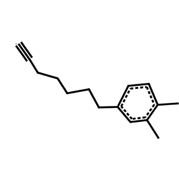 [C]#CCCCCCc1ccc(C)c(C)c1